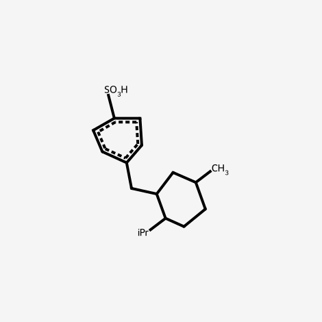 CC1CCC(C(C)C)C(Cc2ccc(S(=O)(=O)O)cc2)C1